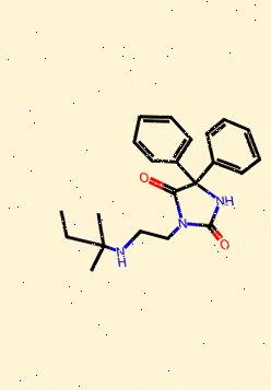 CCC(C)(C)NCCN1C(=O)NC(c2ccccc2)(c2ccccc2)C1=O